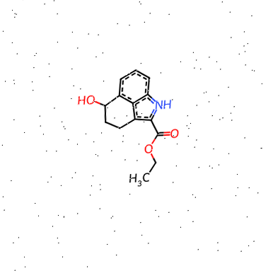 CCOC(=O)c1[nH]c2cccc3c2c1CCC3O